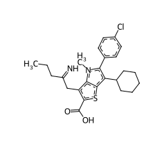 CCCC(=N)Cc1c(C(=O)O)sc2c(C3CCCCC3)c(-c3ccc(Cl)cc3)n(C)c12